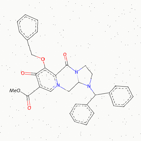 COC(=O)c1cn2c(c(OCc3ccccc3)c1=O)C(=O)N1CCN(C(c3ccccc3)c3ccccc3)C1C2